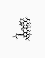 CC(=O)C1=C(O)[C@@H](N(C)C)[C@@H]2C[C@@H]3Cc4c(C#CCN(C)C)cc(C(C)(C)C)c(O)c4C(=O)C3=C(O)[C@]2(O)C1=O